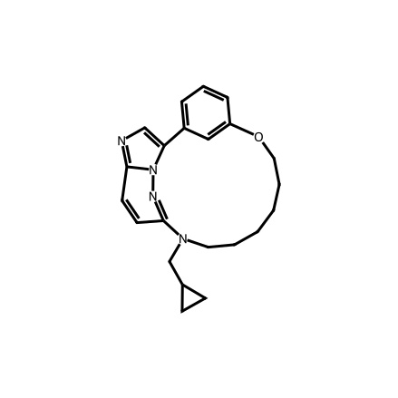 c1cc2cc(c1)-c1cnc3ccc(nn13)N(CC1CC1)CCCCCCO2